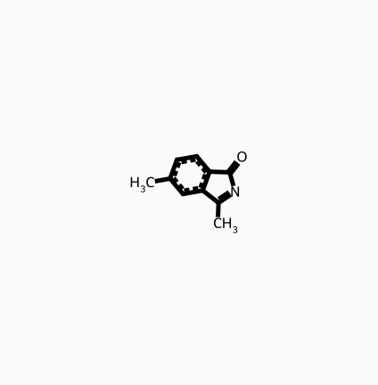 CC1=NC(=O)c2ccc(C)cc21